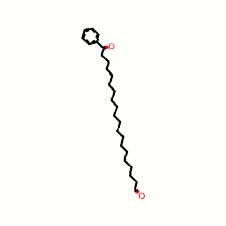 O=CCCCCCCCCCCCCCCCCCCC(=O)c1ccccc1